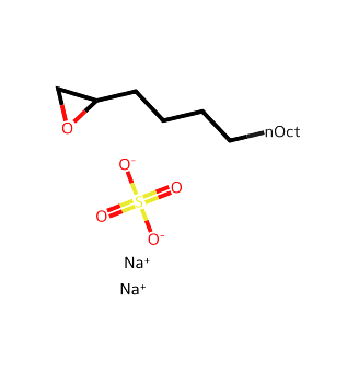 CCCCCCCCCCCCC1CO1.O=S(=O)([O-])[O-].[Na+].[Na+]